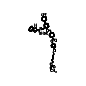 C=CC(=O)OCCCCCCOc1ccc(OC(=O)C2CCC(COc3ccc(C4CCC(CCC)CC4)cc3/C=N/N(CCCCCC)C3Nc4ccccc4S3)CC2)cc1